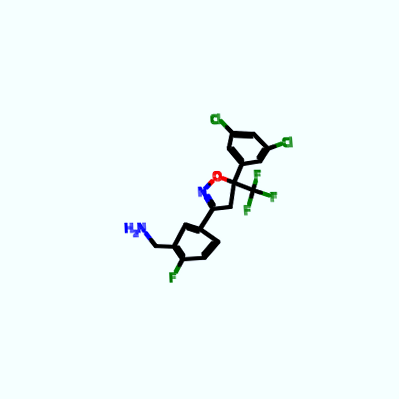 NCc1cc(C2=NOC(c3cc(Cl)cc(Cl)c3)(C(F)(F)F)C2)ccc1F